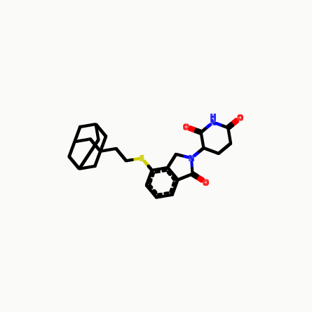 O=C1CCC(N2Cc3c(SCCC45CC6CC(CC(C6)C4)C5)cccc3C2=O)C(=O)N1